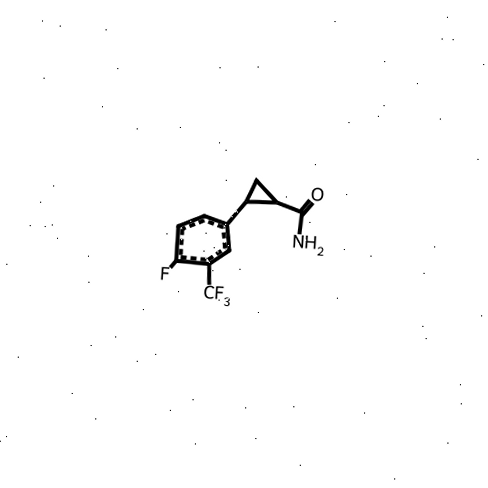 NC(=O)C1CC1c1ccc(F)c(C(F)(F)F)c1